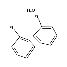 CCc1ccccc1.CCc1ccccc1.O